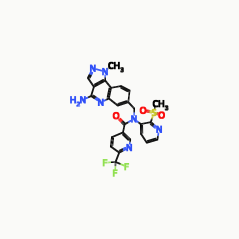 Cn1ncc2c(N)nc3cc(CN(C(=O)c4ccc(C(F)(F)F)nc4)c4cccnc4S(C)(=O)=O)ccc3c21